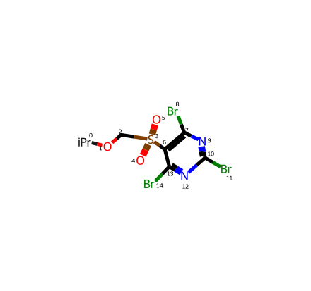 CC(C)OCS(=O)(=O)c1c(Br)nc(Br)nc1Br